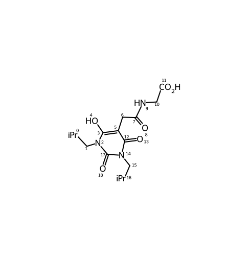 CC(C)Cn1c(O)c(CC(=O)NCC(=O)O)c(=O)n(CC(C)C)c1=O